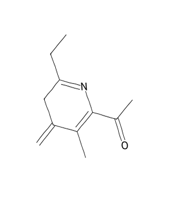 C=C1CC(CC)=NC(C(C)=O)=C1C